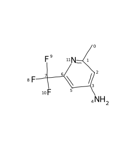 Cc1cc(N)cc(C(F)(F)F)n1